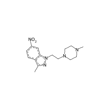 Cc1nn(CCN2CCN(C)CC2)c2cc([N+](=O)[O-])ccc12